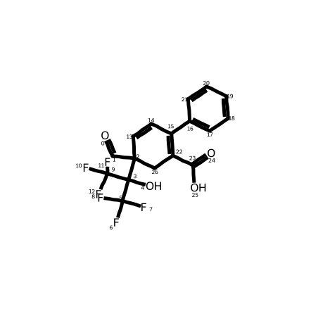 O=CC1(C(O)(C(F)(F)F)C(F)(F)F)C=CC(c2ccccc2)=C(C(=O)O)C1